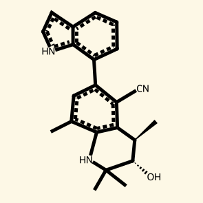 Cc1cc(-c2cccc3cc[nH]c23)c(C#N)c2c1NC(C)(C)[C@@H](O)[C@@H]2C